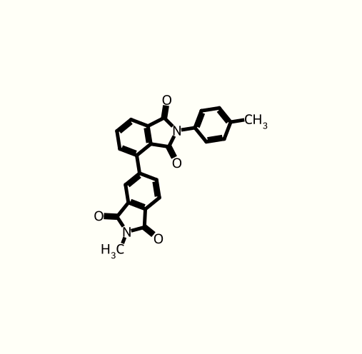 Cc1ccc(N2C(=O)c3cccc(-c4ccc5c(c4)C(=O)N(C)C5=O)c3C2=O)cc1